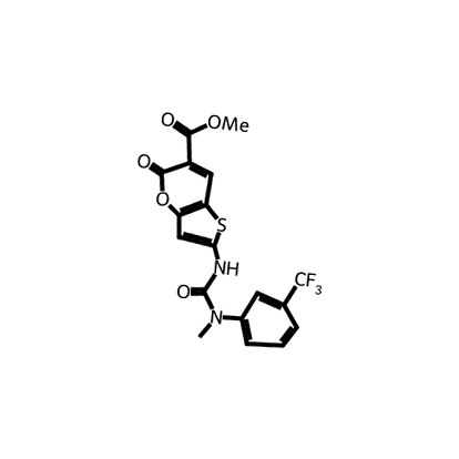 COC(=O)c1cc2sc(NC(=O)N(C)c3cccc(C(F)(F)F)c3)cc2oc1=O